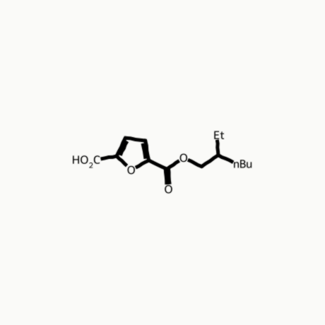 CCCCC(CC)COC(=O)c1ccc(C(=O)O)o1